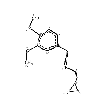 COc1ccc(/C=N/C[C@H]2CO2)cc1OC